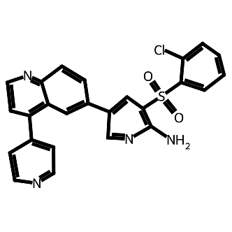 Nc1ncc(-c2ccc3nccc(-c4ccncc4)c3c2)cc1S(=O)(=O)c1ccccc1Cl